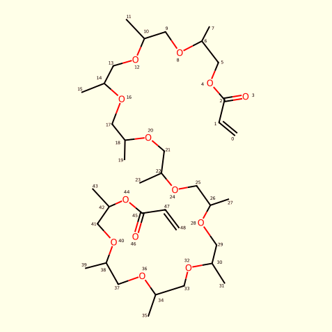 C=CC(=O)OCC(C)OCC(C)OCC(C)OCC(C)OCC(C)OCC(C)OCC(C)OCC(C)OCC(C)OCC(C)OC(=O)C=C